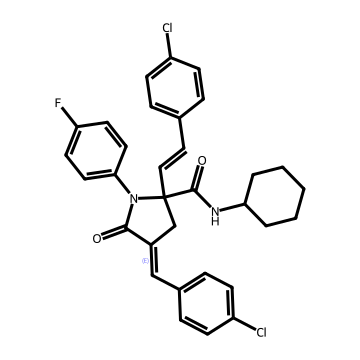 O=C1/C(=C/c2ccc(Cl)cc2)CC(C=Cc2ccc(Cl)cc2)(C(=O)NC2CCCCC2)N1c1ccc(F)cc1